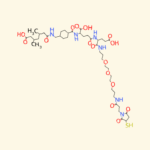 CC(CC(=O)O)CC(C)CC(=O)NCC1CCC(C(=O)NC(CCC(=O)NC(CCC(=O)O)C(=O)NCCCOCCOCCOCCCNC(=O)CCN2C(=O)CC(S)C2=O)C(=O)O)CC1